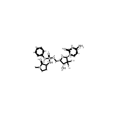 CN1CCC(NP(=O)(OC[C@H]2O[C@@H](n3ccc(N)nc3=O)C(F)(F)[C@@H]2O)Oc2ccccc2)C1=O